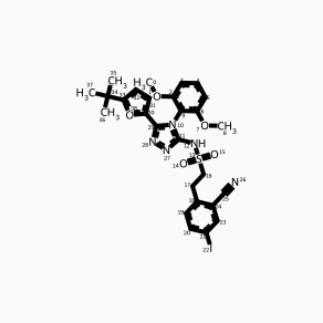 COc1cccc(OC)c1-n1c(NS(=O)(=O)CCc2ccc(I)cc2C#N)nnc1-c1ccc(C(C)(C)C)o1